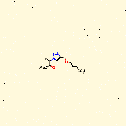 COC(=O)C(C(C)C)n1cc(COCCCC(=O)O)nn1